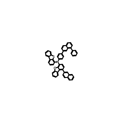 c1ccc(-c2cccc3ccc(-c4ccc(N(c5ccc(-c6ccc7ccccc7c6)c6c5oc5ccccc56)c5cccc6c5sc5ccccc56)cc4)cc23)cc1